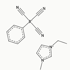 CC[n+]1ccn(C)c1.N#C[B-](C#N)(C#N)c1ccccc1